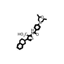 CC1CN(c2ccc(C(=O)Nc3scc(C4CCc5ccccc5C4)c3C(=O)O)cc2)CC(C)O1